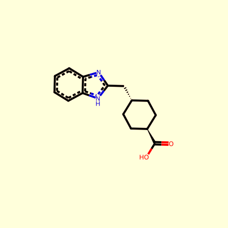 O=C(O)[C@H]1CC[C@H](Cc2nc3ccccc3[nH]2)CC1